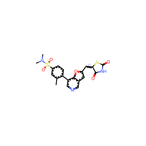 Cc1cc(S(=O)(=O)N(C)C)ccc1-c1cncc2cc(/C=C3/SC(=O)NC3=O)oc12